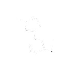 Nc1cnnc(-c2cccc(C(F)(F)F)c2)c1